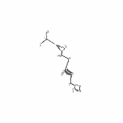 CC(C)OCCC=CCCl